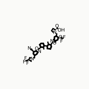 Cc1c(-c2nc3cc(CN4CCC[C@H]4C(=O)O)c(OC(F)F)cc3o2)cccc1-c1cccc(-c2nc3cc(CN4CC(C(F)(F)F)C4)cc(C#N)c3o2)c1C